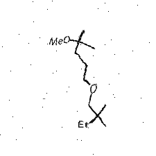 CCC(C)(C)COCCCC(C)(C)OC